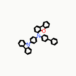 c1ccc(-c2ccc(N(c3ccc(-n4c5ccccc5c5ccccc54)cc3)c3cccc4c3oc3ccccc34)cc2)cc1